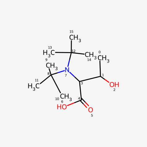 CC(O)C(C(=O)O)N(C(C)(C)C)C(C)(C)C